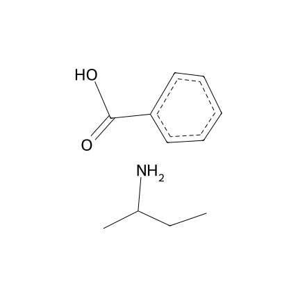 CCC(C)N.O=C(O)c1ccccc1